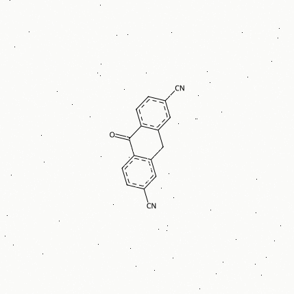 N#Cc1ccc2c(c1)Cc1cc(C#N)ccc1C2=O